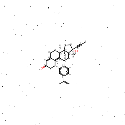 C=C(C)c1ccc([C@H]2C[C@@]3(CC)[C@@H](CC[C@@]3(O)C#CC)[C@@H]3CCC4=CC(=O)CCC4=C32)cc1